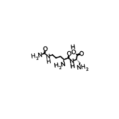 NC[C@H](NC(=O)[C@@H](N)CCCNC(N)=O)C(=O)O